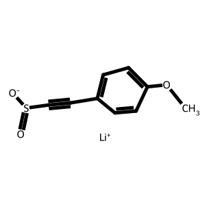 COc1ccc(C#CS(=O)[O-])cc1.[Li+]